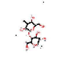 CC1[C@@H](O)C(CO)O[C@@H](O[C@@H]2C(CO)O[C@@H](C)[C@@H](O)C2O)[C@H]1O